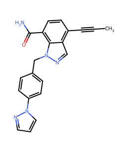 CC#Cc1ccc(C(N)=O)c2c1cnn2Cc1ccc(-n2cccn2)cc1